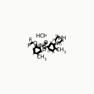 Cc1ccc(OC(F)F)c(NS(=O)(=O)c2ccc(C)c(N3CCNCC3)c2)c1.Cl